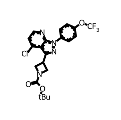 CC(C)(C)OC(=O)N1CC(c2nn(-c3ccc(OC(F)(F)F)cc3)c3nccc(Cl)c23)C1